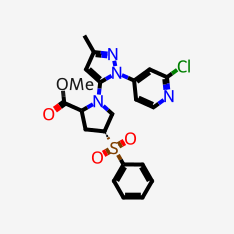 COC(=O)C1C[C@@H](S(=O)(=O)c2ccccc2)CN1c1cc(C)nn1-c1ccnc(Cl)c1